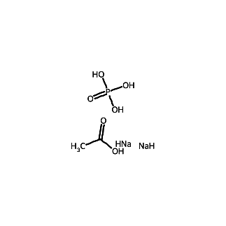 CC(=O)O.O=P(O)(O)O.[NaH].[NaH]